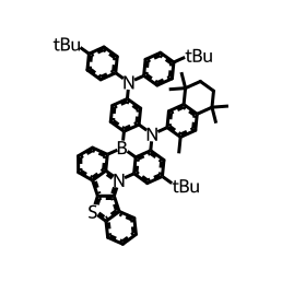 Cc1cc2c(cc1N1c3cc(N(c4ccc(C(C)(C)C)cc4)c4ccc(C(C)(C)C)cc4)ccc3B3c4c1cc(C(C)(C)C)cc4-n1c4c3cccc4c3sc4ccccc4c31)C(C)(C)CCC2(C)C